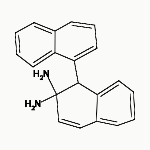 NC1(N)C=Cc2ccccc2C1c1cccc2ccccc12